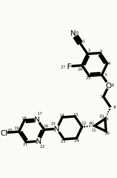 N#Cc1ccc(OCC[C@@H]2C[C@@H]2C2CCN(c3ncc(Cl)cn3)CC2)cc1F